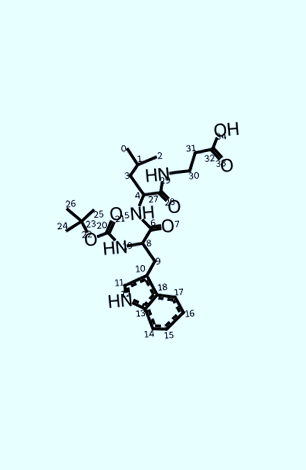 CC(C)CC(NC(=O)C(Cc1c[nH]c2ccccc12)NC(=O)OC(C)(C)C)C(=O)NCCC(=O)O